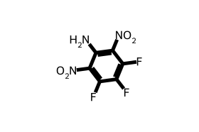 Nc1c([N+](=O)[O-])c(F)c(F)c(F)c1[N+](=O)[O-]